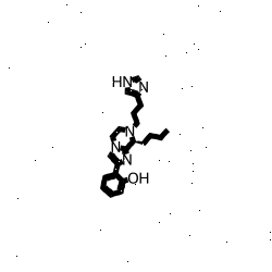 CCCC[C@H]1c2nc(-c3ccccc3O)cn2CCN1CCCc1c[nH]cn1